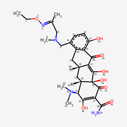 CCON=C(C)CN(C)Cc1ccc(O)c2c1C[C@H]1C[C@H]3[C@H](N(C)C)C(O)=C(C(N)=O)C(=O)[C@@]3(O)C(O)=C1C2=O